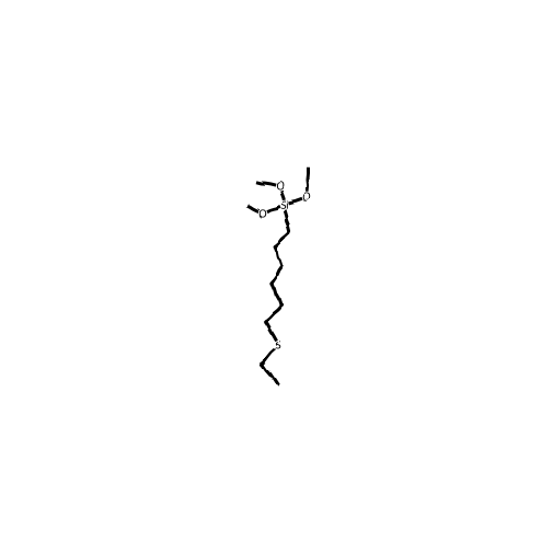 CCSCCCCCC[Si](OC)(OC)OC